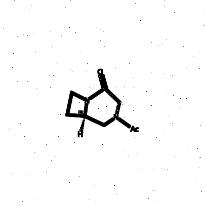 CC(=O)N1CC(=O)N2CC[C@@H]2C1